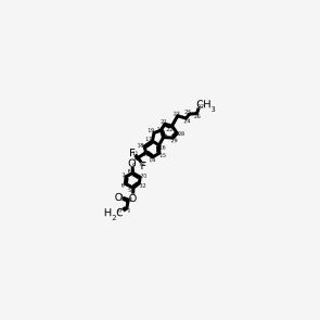 C=CC(=O)Oc1ccc(OC(F)(F)c2ccc3c(c2)Cc2cc(CCCCC)ccc2-3)cc1